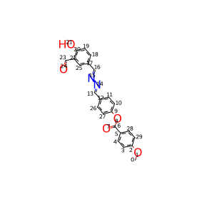 COc1ccc(C(=O)Oc2ccc(/C=N/N=C/c3ccc(O)c(C=O)c3)cc2)cc1